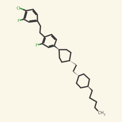 CCCCC[C@H]1CC[C@H](CC[C@H]2CC[C@H](c3ccc(CCc4ccc(Cl)c(F)c4)c(F)c3)CC2)CC1